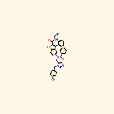 CC(C)CNC(=O)c1[nH]c2ccc(N(Cc3cncn3Cc3ccc(C#N)cc3)C(=O)c3ccccc3)cc2c1-c1ccccc1